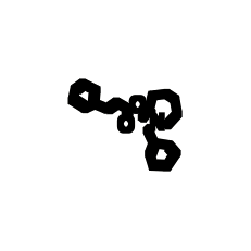 CC1(OC(=O)C=Cc2ccccc2)CCCCCN1Cc1ccccc1